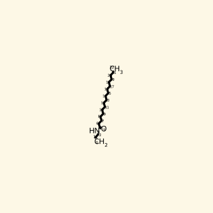 C=CCNC(=O)CCCCCCCCCCCCCCCCC